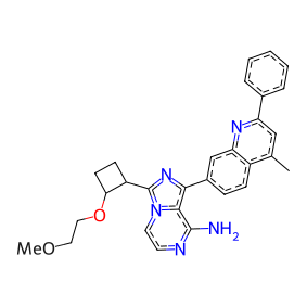 COCCOC1CCC1c1nc(-c2ccc3c(C)cc(-c4ccccc4)nc3c2)c2c(N)nccn12